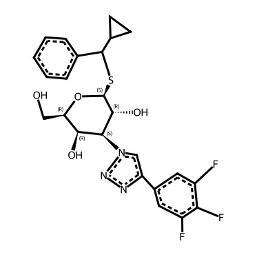 OC[C@H]1O[C@@H](SC(c2ccccc2)C2CC2)[C@H](O)[C@@H](n2cc(-c3cc(F)c(F)c(F)c3)nn2)[C@H]1O